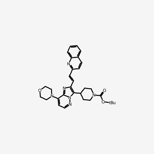 CC(C)(C)OC(=O)N1CCC(c2c(/C=C/c3ccc4ccccc4n3)nc3c(N4CCOCC4)ccnn23)CC1